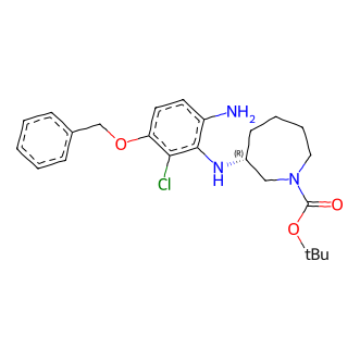 CC(C)(C)OC(=O)N1CCCC[C@@H](Nc2c(N)ccc(OCc3ccccc3)c2Cl)C1